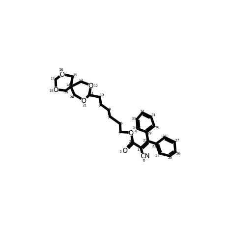 N#CC(C(=O)OCCCCCCC1OCC2(COCOC2)CO1)=C(c1ccccc1)c1ccccc1